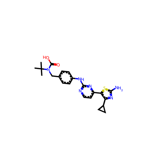 CC(C)(C)N(Cc1ccc(Nc2nccc(-c3sc(N)nc3C3CC3)n2)cc1)C(=O)O